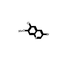 COc1cc2ncc(Br)cc2cc1Cl